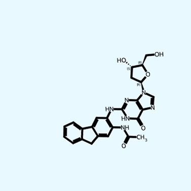 CC(=O)Nc1cc2c(cc1Nc1nc3c(ncn3[C@H]3C[C@H](O)[C@@H](CO)O3)c(=O)[nH]1)-c1ccccc1C2